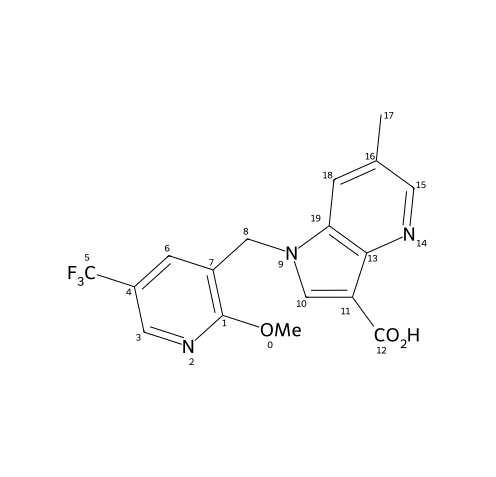 COc1ncc(C(F)(F)F)cc1Cn1cc(C(=O)O)c2ncc(C)cc21